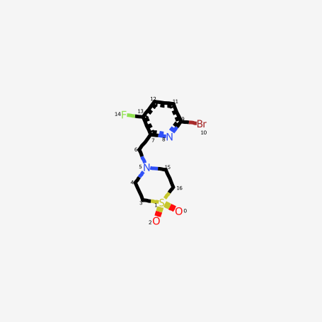 O=S1(=O)CCN(Cc2nc(Br)ccc2F)CC1